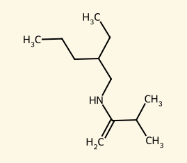 C=C(NCC(CC)CCC)C(C)C